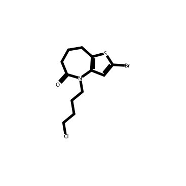 O=C1CCCc2sc(Br)cc2N1CCCCCl